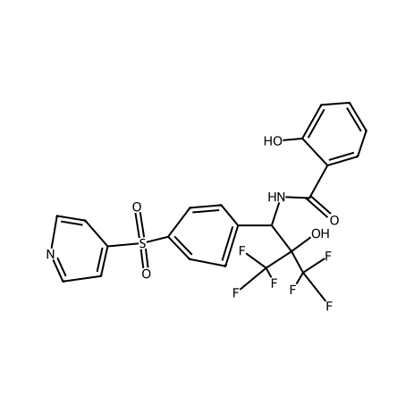 O=C(NC(c1ccc(S(=O)(=O)c2ccncc2)cc1)C(O)(C(F)(F)F)C(F)(F)F)c1ccccc1O